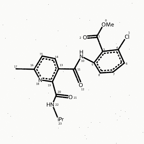 COC(=O)c1c(Cl)cccc1NC(=O)c1ccc(C)nc1C(=O)NC(C)C